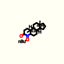 CCCCON1C(=O)CC[C@@]2(C)C1CC[C@@H]1[C@H]2CC[C@]2(C)CCC[C@@H]12